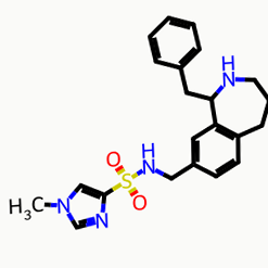 Cn1cnc(S(=O)(=O)NCc2ccc3c(c2)C(Cc2ccccc2)NCCC3)c1